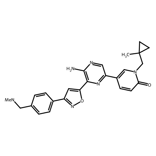 CNCc1ccc(-c2cc(-c3nc(-c4ccc(=O)n(CC5(C)CC5)c4)cnc3N)on2)cc1